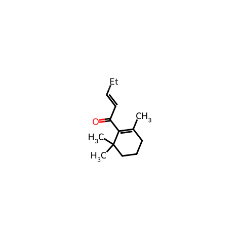 CC/C=C/C(=O)C1=C(C)CCCC1(C)C